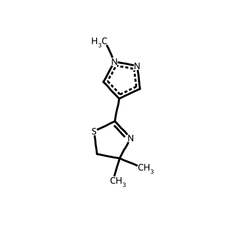 Cn1cc(C2=NC(C)(C)CS2)cn1